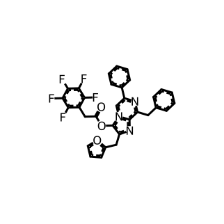 O=C(Cc1c(F)c(F)c(F)c(F)c1F)Oc1c(Cc2ccco2)nc2c(Cc3ccccc3)nc(-c3ccccc3)cn12